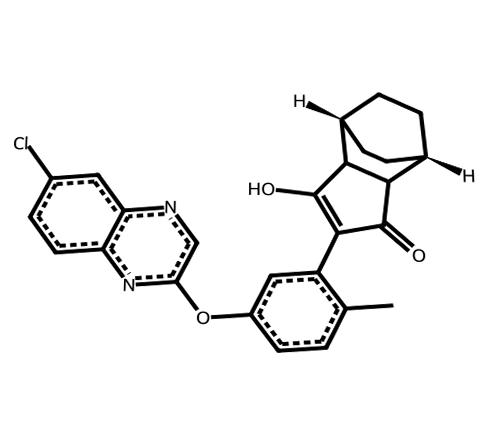 Cc1ccc(Oc2cnc3cc(Cl)ccc3n2)cc1C1=C(O)C2C(C1=O)[C@H]1CC[C@@H]2CC1